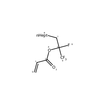 C=CC(=O)OC(F)(CCCCCCCC)C(F)(F)F